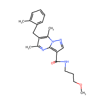 COCCCNC(=O)c1cnn2c(C)c(Cc3ccccc3C)c(C)nc12